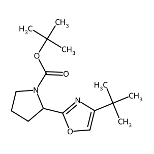 CC(C)(C)OC(=O)N1CCCC1c1nc(C(C)(C)C)co1